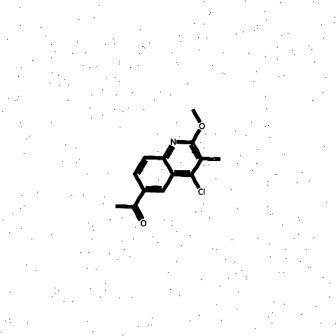 COc1nc2ccc(C(C)=O)cc2c(Cl)c1C